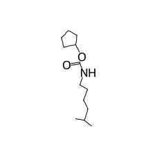 CC(C)CCCCNC(=O)OC1CCCC1